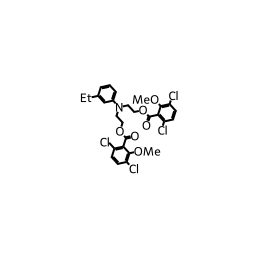 CCc1cccc(N(CCOC(=O)c2c(Cl)ccc(Cl)c2OC)CCOC(=O)c2c(Cl)ccc(Cl)c2OC)c1